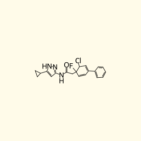 O=C(CC1(F)C=CC(c2ccccc2)=CC1Cl)Nc1cc(C2CC2)[nH]n1